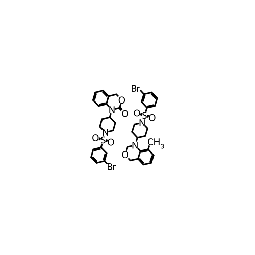 Cc1cccc2c1N(C1CCN(S(=O)(=O)c3cccc(Br)c3)CC1)COC2.O=C1OCc2ccccc2N1C1CCN(S(=O)(=O)c2cccc(Br)c2)CC1